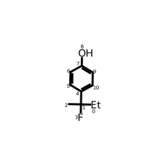 CCC(C)(F)c1ccc(O)cc1